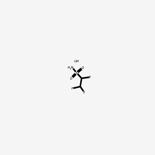 NS(=O)(=O)C(F)C(F)F.[LiH]